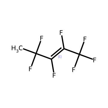 CC(F)(F)/C(F)=C(\F)C(F)(F)F